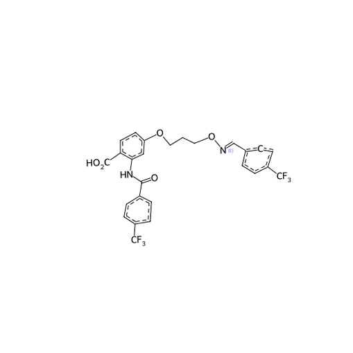 O=C(Nc1cc(OCCCO/N=C/c2ccc(C(F)(F)F)cc2)ccc1C(=O)O)c1ccc(C(F)(F)F)cc1